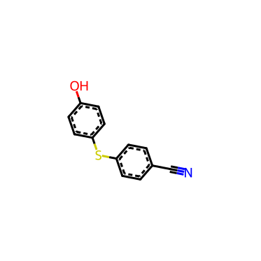 N#Cc1ccc(Sc2ccc(O)cc2)cc1